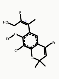 CCOc1c(/C(C)=C(/F)CO)cc2c(c1Cl)OC(C)(C)C=C2C(C)C